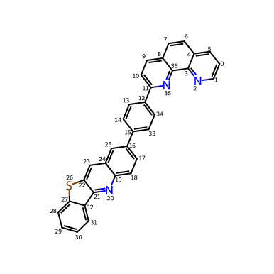 c1cnc2c(c1)ccc1ccc(-c3ccc(-c4ccc5nc6c(cc5c4)sc4ccccc46)cc3)nc12